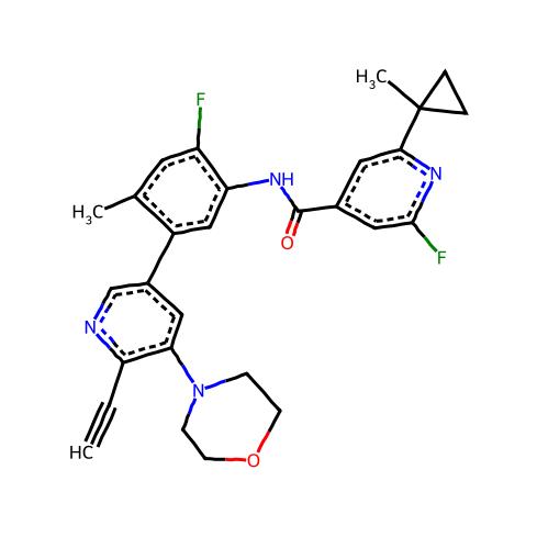 C#Cc1ncc(-c2cc(NC(=O)c3cc(F)nc(C4(C)CC4)c3)c(F)cc2C)cc1N1CCOCC1